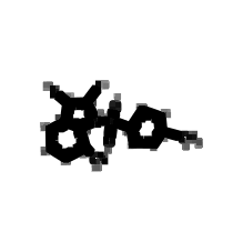 Cc1ccc(S(=O)(=O)n2c(I)c(F)c3cccc(C#N)c32)cc1